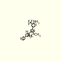 CC(C)n1nc(-c2cnc(N)c(C(F)(F)F)c2)cc1C1[C@H]2CC(n3ccnc3)C[C@@H]12